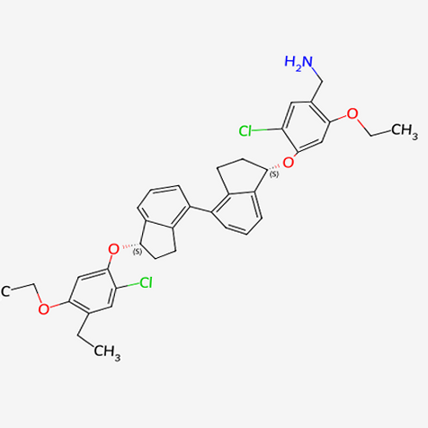 CCOc1cc(O[C@H]2CCc3c(-c4cccc5c4CC[C@@H]5Oc4cc(OCC)c(CN)cc4Cl)cccc32)c(Cl)cc1CC